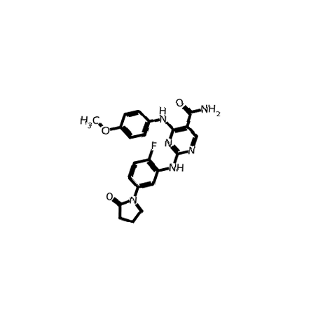 COc1ccc(Nc2nc(Nc3cc(N4CCCC4=O)ccc3F)ncc2C(N)=O)cc1